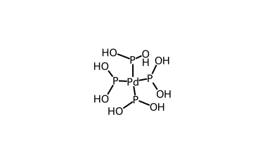 O[P](O)[Pd]([P](O)O)([P](O)O)[P](O)O